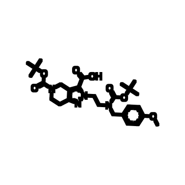 COc1ccc(CN(CCn2nc3c(c2C(=O)O)CN(C(=O)OC(C)(C)C)CC3)C(=O)OC(C)(C)C)cc1